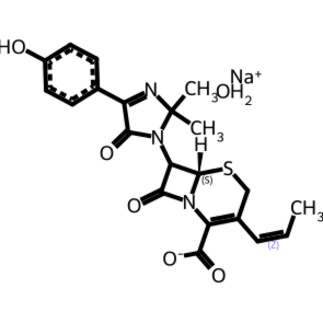 C/C=C\C1=C(C(=O)[O-])N2C(=O)C(N3C(=O)C(c4ccc(O)cc4)=NC3(C)C)[C@@H]2SC1.O.[Na+]